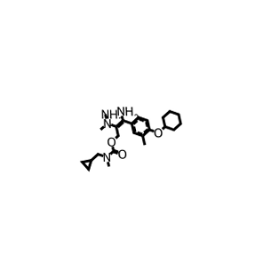 Cc1cc(/C(N)=C(\COC(=O)N(C)CC2CC2)N(C)N)ccc1OC1CCCCC1